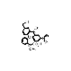 CC(=O)O[C@@H](C(=O)O)c1ccccc1.CC[C@H](c1cccc(N(C(C)C)C(C)C)c1)c1cc(CO)ccc1O